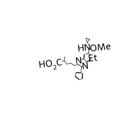 CC/C=c1/nc(-c2ccccc2)c(CCCC(C)C(=O)O)n/c1=C/C(C)C(NC1CC1)OC